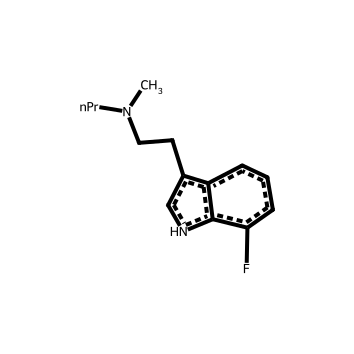 CCCN(C)CCc1c[nH]c2c(F)cccc12